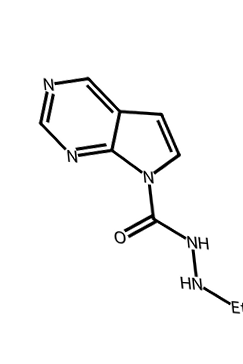 CCNNC(=O)n1ccc2cncnc21